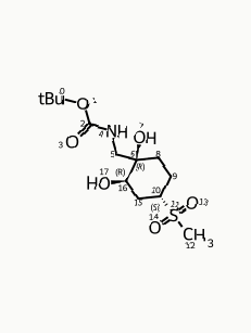 CC(C)(C)OC(=O)NC[C@]1(O)CC[C@H](S(C)(=O)=O)C[C@H]1O